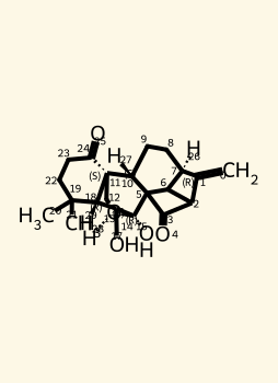 C=C1C2C(=O)C34C2[C@H]1CC[C@H]3[C@@]12CO[C@@]4(O)[C@@H](O)[C@@H]1C(C)(C)CCC2=O